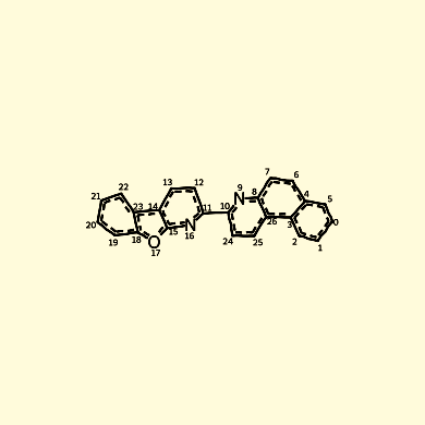 c1ccc2c(c1)ccc1nc(-c3ccc4c(n3)oc3ccccc34)ccc12